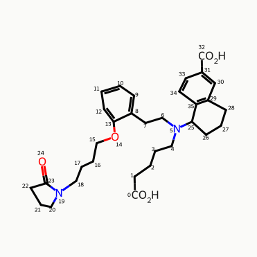 O=C(O)CCCCN(CCc1ccccc1OCCCCN1CCCC1=O)C1CCCc2cc(C(=O)O)ccc21